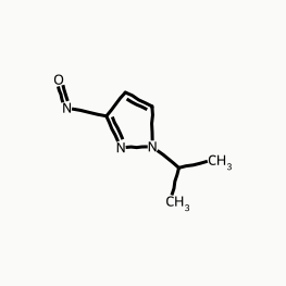 CC(C)n1ccc(N=O)n1